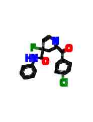 O=C(C1=NC=CC(F)(C(=O)Nc2ccccc2)C1)c1ccc(Cl)cc1